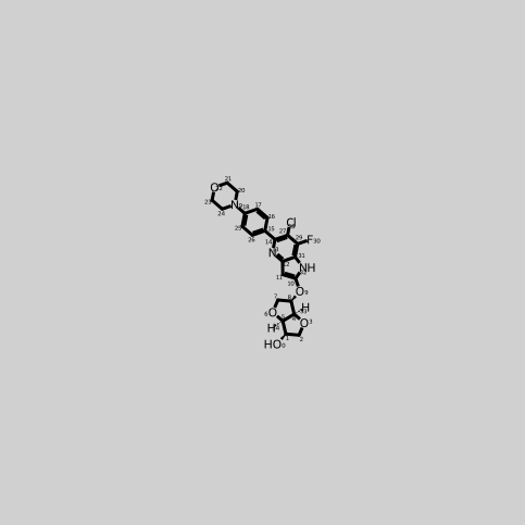 O[C@@H]1CO[C@H]2[C@@H]1OC[C@H]2Oc1cc2nc(-c3ccc(N4CCOCC4)cc3)c(Cl)c(F)c2[nH]1